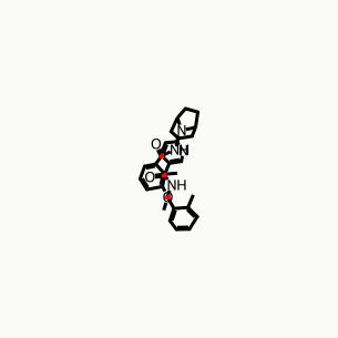 COc1cccc(C(=O)NC2CC3CCC(C2)N3c2ccc(C(=O)NCc3ccccc3C)cn2)c1C